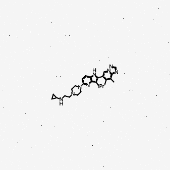 Cc1c(-c2[nH]c3ccc(N4CCN(CCNC5CC5)CC4)nc3c2C(C)C)cn2ncnc2c1C